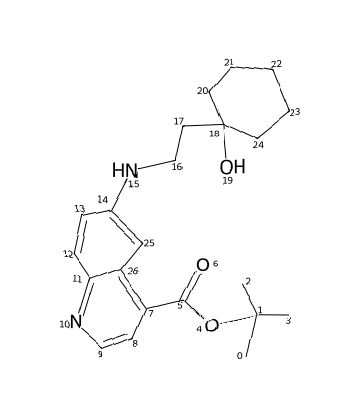 CC(C)(C)OC(=O)c1ccnc2ccc(NCCC3(O)CCCCC3)cc12